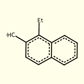 [CH]c1ccc2ccccc2c1CC